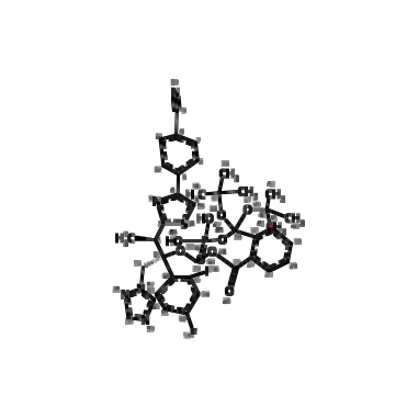 C[C@@H](c1nc(-c2ccc(C#N)cc2)cs1)[C@@](Cn1cncn1)(OCOC(=O)c1ccccc1C(OC(C)(C)C)(OC(C)(C)C)OP(=O)(O)O)c1ccc(F)cc1F